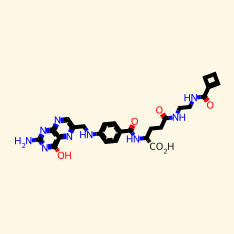 Nc1nc(O)c2nc(CNc3ccc(C(=O)NC(CCC(=O)NCCNC(=O)C4=CCC4)C(=O)O)cc3)cnc2n1